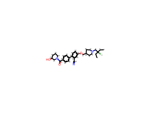 CCC(F)(CC)CN1CCC(COc2ccc(-c3ccc(C(=O)N4CCCC(O)C4)cc3)c(C#N)c2)CC1